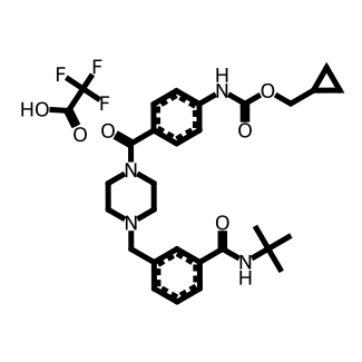 CC(C)(C)NC(=O)c1cccc(CN2CCN(C(=O)c3ccc(NC(=O)OCC4CC4)cc3)CC2)c1.O=C(O)C(F)(F)F